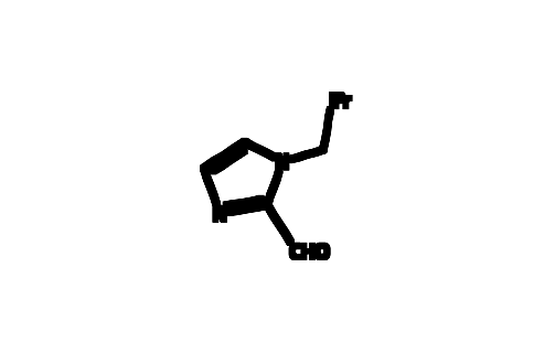 CC(C)Cn1ccnc1C=O